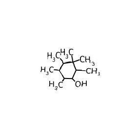 CC1C(C)C(C)C(C)(C)C(C)C1O